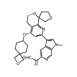 Cn1cc(-c2cc(OC3CCC4(CC3)COC4)c3c(n2)C2(CCOC2)OCC3)c2cc(NC=O)ncc21